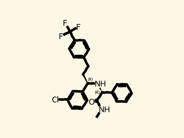 CNC(=O)[C@H](N[C@H](CCc1ccc(C(F)(F)F)cc1)c1cccc(Cl)c1)c1ccccc1